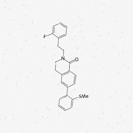 CSc1ccccc1-c1ccc2c(c1)CCN(CCc1ccccc1F)C2=O